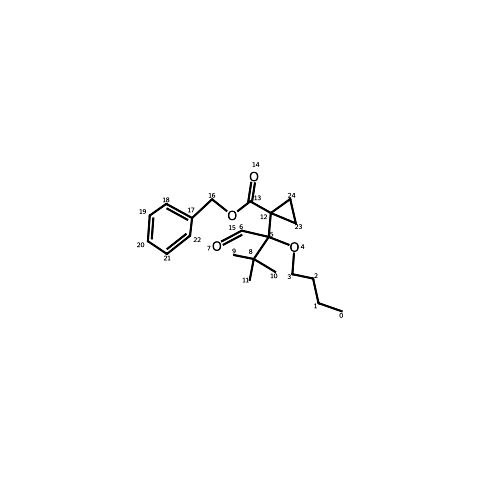 CCCCOC(C=O)(C(C)(C)C)C1(C(=O)OCc2ccccc2)CC1